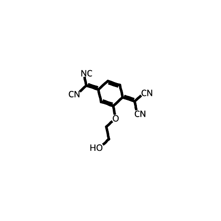 [C-]#[N+]C([N+]#[C-])=c1ccc(=C(C#N)C#N)c(OCCO)c1